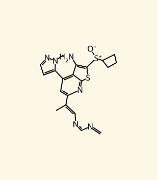 C=N/C=N\C=C(/C)c1cc(-c2ccnn2C)c2c(N)c([S+]([O-])C3CCC3)sc2n1